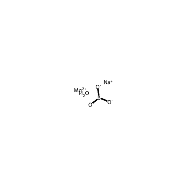 O.[Mg+2].[Na+].[O-]B([O-])[O-]